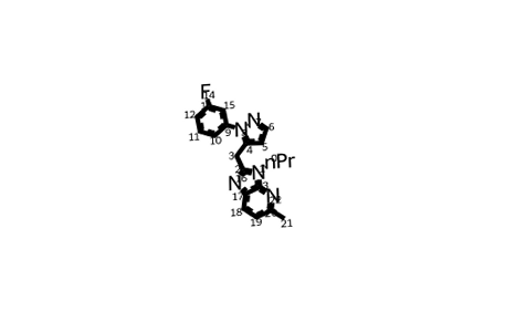 CCCn1c(Cc2ccnn2-c2cccc(F)c2)nc2ccc(C)nc21